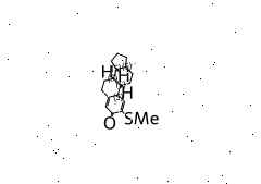 CSC1=C[C@@]2(C)C(=CC1=O)CC[C@H]1[C@@H]3CCC[C@@]3(C)CC[C@@H]12